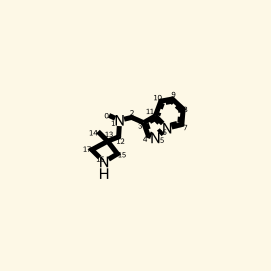 CN(Cc1cnn2ccccc12)CC1(C)CNC1